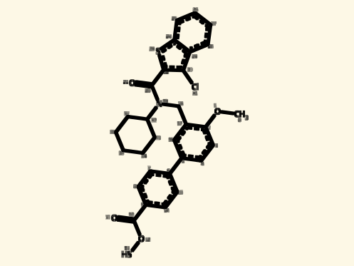 COc1ccc(-c2ccc(C(=O)OS)cc2)cc1CN(C(=O)c1sc2ccccc2c1Cl)C1CCCCC1